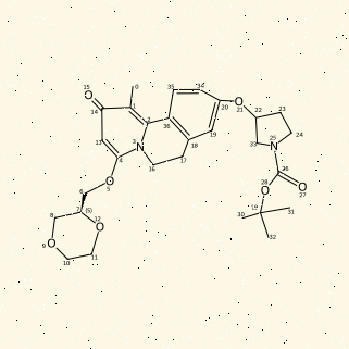 Cc1c2n(c(OC[C@@H]3COCCO3)cc1=O)CCc1cc(OC3CCN(C(=O)OC(C)(C)C)C3)ccc1-2